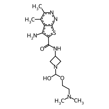 Cc1nnc2sc(C(=O)NC3CN(C(O)OCCN(C)C)C3)c(N)c2c1C